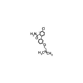 CN(C)CCOc1cccc(-c2ccc(Cl)[c]c2C(N)=O)c1